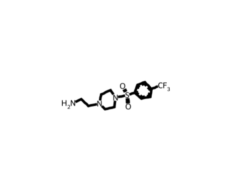 NCCN1CCN(S(=O)(=O)c2ccc(C(F)(F)F)cc2)CC1